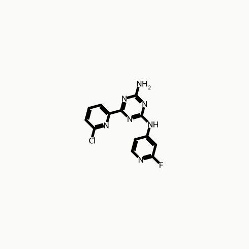 Nc1nc(Nc2ccnc(F)c2)nc(-c2cccc(Cl)n2)n1